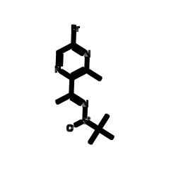 CC(=N[S+]([O-])C(C)(C)C)c1ncc(Br)nc1C